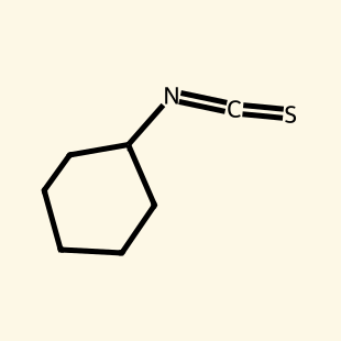 S=C=N[C]1CCCCC1